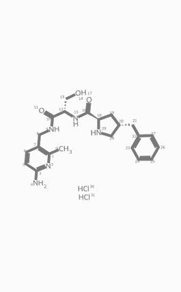 Cc1nc(N)ccc1CNC(=O)[C@H](CO)NC(=O)[C@H]1C[C@H](Cc2ccccc2)CN1.Cl.Cl